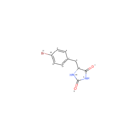 O=C1NC(=O)C(Cc2ccc(Br)cc2)N1